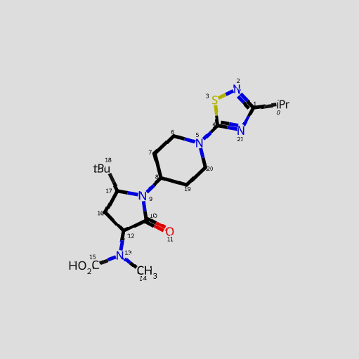 CC(C)c1nsc(N2CCC(N3C(=O)C(N(C)C(=O)O)CC3C(C)(C)C)CC2)n1